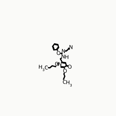 CCCCOc1cn(OCCCC)c(CN/C(=N\CC#N)Oc2ccccc2)cc1=O